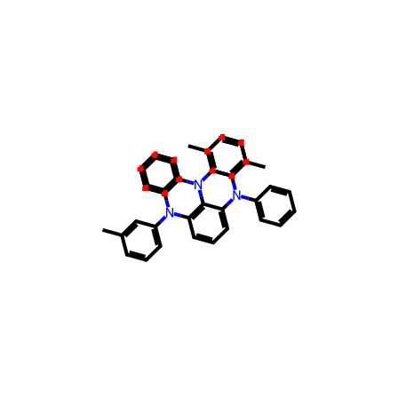 Cc1cccc(N(c2ccccc2)c2cccc(N(c3ccccc3)c3cccc(C)c3)c2N(c2ccccc2)c2cccc(C)c2)c1